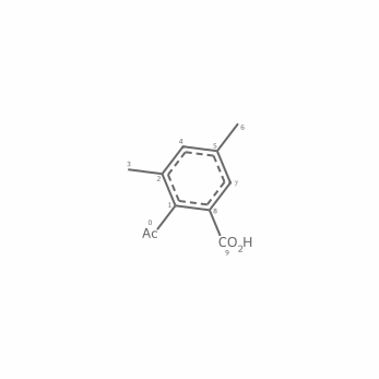 CC(=O)c1c(C)cc(C)cc1C(=O)O